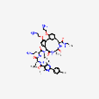 Cc1nc(-c2ccc(C(C)(C)C)cc2)nc(C)c1C(=O)N[C@H](COCC(C)C)C(=O)N[C@@H](CCN)C(=O)N(C)[C@@H]1C(=O)N[C@@H](C)C(=O)N[C@H](C(=O)NCC#N)Cc2ccc(OCCN)c(c2)-c2cc1ccc2OCCN